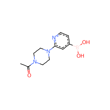 CC(=O)N1CCN(c2cc(B(O)O)ccn2)CC1